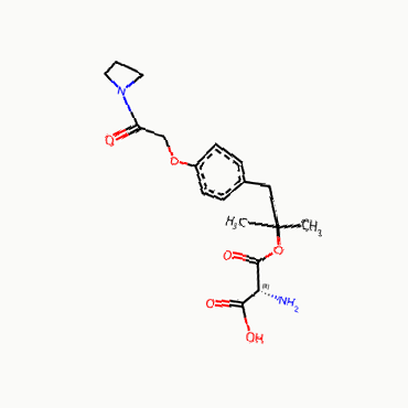 CC(C)(Cc1ccc(OCC(=O)N2CCC2)cc1)OC(=O)[C@H](N)C(=O)O